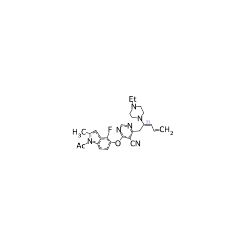 C=C/C=C(\Cc1ncnc(Oc2ccc3c(cc(C)n3C(C)=O)c2F)c1C#N)N1CCN(CC)CC1